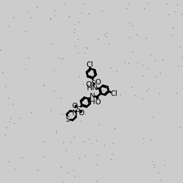 O=C(Nc1ccc(S(=O)(=O)N2CCSCC2)cc1)c1cc(Cl)ccc1NS(=O)(=O)c1ccc(Cl)cc1